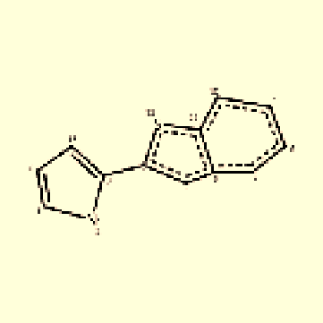 C1=C[N]C(c2cc3ccccc3s2)=C1